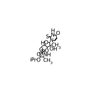 CC(C)OC(=O)[C@H](C)NP1(=O)OC[C@H]2O[C@@H](n3ccc(=O)[nH]c3=S)[C@](C)(O)C2O1